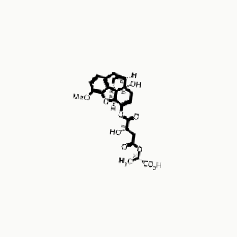 COc1ccc2c3c1O[C@@H]1C(OC(=O)[C@@H](O)CC(=O)O[C@@H](C)C(=O)O)=CC[C@]4(O)[C@@H](CCC[C@@]314)C2